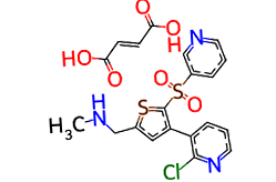 CNCc1cc(-c2cccnc2Cl)c(S(=O)(=O)c2cccnc2)s1.O=C(O)/C=C/C(=O)O